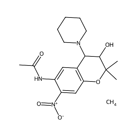 C.CC(=O)Nc1cc2c(cc1[N+](=O)[O-])OC(C)(C)C(O)C2N1CCCCC1